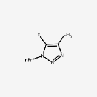 CCCn1nnc(C)c1F